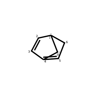 [CH]1[C]2C=CC1=CC2